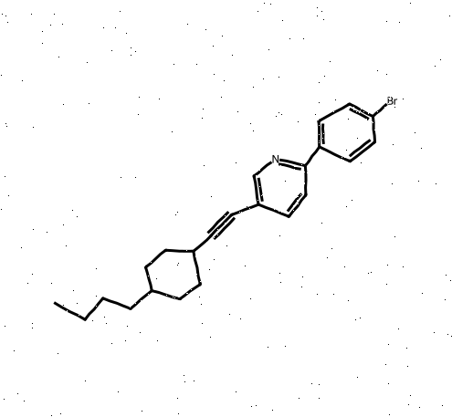 CCCCC1CCC(C#Cc2ccc(-c3ccc(Br)cc3)nc2)CC1